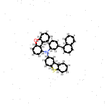 c1cc(-c2cccc3ccccc23)cc(N(c2ccc3sc4ccccc4c3c2)c2cccc3oc4ccccc4c23)c1